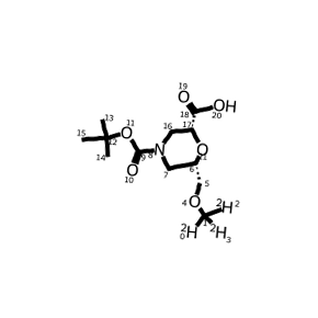 [2H]C([2H])([2H])OC[C@@H]1CN(C(=O)OC(C)(C)C)C[C@H](C(=O)O)O1